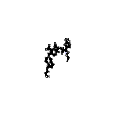 Nc1nc(/C(=N/OCF)C(=O)N[C@@H]2C(=O)N3C(C(=O)[O-])=C(Cn4cc[n+]5c(SCCO)ccc-5c4)CS[C@@H]23)cs1